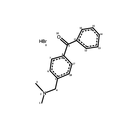 Br.CN(C)Cc1ccc(C(=O)c2ccccc2)cc1